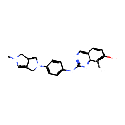 CC(C)c1c(O)ccc2cnc(Nc3ccc(N4CC5=CN(C)CC5C4)cc3)nc12